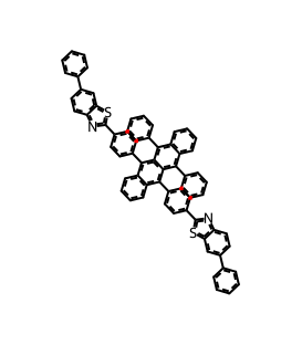 c1ccc(-c2ccc3nc(-c4ccc(-c5c6ccccc6c(-c6ccc(-c7nc8ccc(-c9ccccc9)cc8s7)cc6)c6c(-c7ccccc7)c7ccccc7c(-c7ccccc7)c56)cc4)sc3c2)cc1